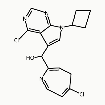 OC(C1=CCC(Cl)=CC=N1)c1cn(C2CCC2)c2ncnc(Cl)c12